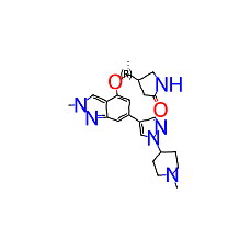 C[C@@H](Oc1cc(-c2cnn(C3CCN(C)CC3)c2)cc2nn(C)cc12)C1CNC(=O)C1